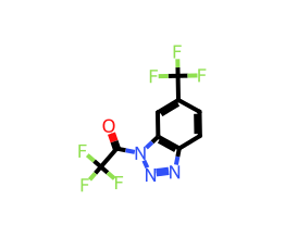 O=C(n1nnc2ccc(C(F)(F)F)cc21)C(F)(F)F